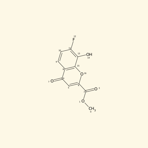 COC(=O)c1cc(=O)c2ccc(F)c(O)c2o1